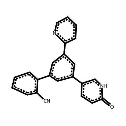 N#Cc1ccccc1-c1cc(-c2ccc(=O)[nH]c2)cc(-c2ccccn2)c1